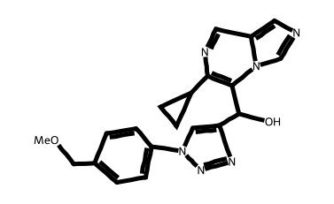 COCc1ccc(-n2cc(C(O)c3c(C4CC4)ncc4cncn34)nn2)cc1